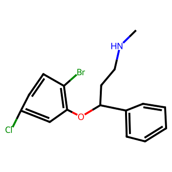 CNCCC(Oc1cc(Cl)ccc1Br)c1ccccc1